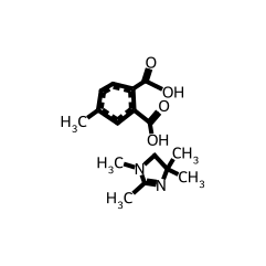 CC1=NC(C)(C)CN1C.Cc1ccc(C(=O)O)c(C(=O)O)c1